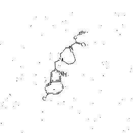 CC(C)(C)OC(=O)N1CCN(Cc2cc3cc(Cl)ccc3[nH]2)CC1